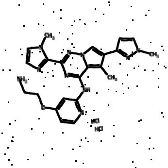 Cc1c(-c2ccn(C)n2)cn2nc(-c3nccn3C)nc(Nc3cc(OCCN)ccn3)c12.Cl.Cl